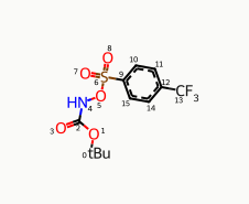 CC(C)(C)OC(=O)NOS(=O)(=O)c1ccc(C(F)(F)F)cc1